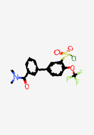 CN(C)C(=O)c1cccc(-c2ccc(OC(F)(F)F)c(S(=O)(=O)Cl)c2)c1